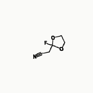 N#CCC1(F)OCCO1